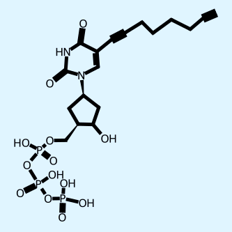 C#CCCCCC#Cc1cn([C@H]2CC(O)[C@@H](COP(=O)(O)OP(=O)(O)OP(=O)(O)O)C2)c(=O)[nH]c1=O